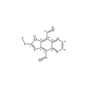 CCc1cc2c(C=O)c3ccccc3c(C=O)c2o1